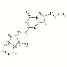 CCSc1nn2c(=O)cc(CSc3nc4ccccc4n3N)nc2s1